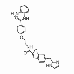 Nc1ccccc1NC(=O)c1ccc(OCCNC(=O)c2cc3ccc(Cc4ncc[nH]4)cc3o2)cc1